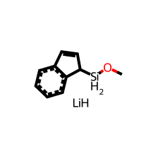 CO[SiH2]C1C=Cc2ccccc21.[LiH]